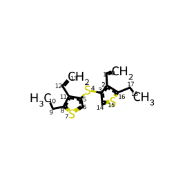 C=Cc1c(Sc2csc(CC)c2C=C)csc1CC